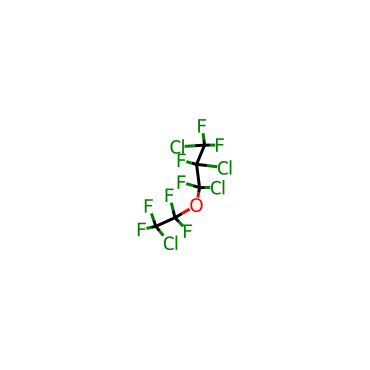 FC(F)(Cl)C(F)(F)OC(F)(Cl)C(F)(Cl)C(F)(F)Cl